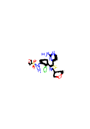 Nc1nccc(-c2sc(C3CCOCC3)nc2-c2cccc(NS(=O)(=O)C3C=COC3)c2Cl)n1